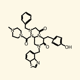 CN1CCN(C(=O)N2C3CN(CC4=CC=CC5SC=NC45)C(=O)C(Cc4ccc(O)cc4)N3C(=O)CN2Cc2ccccc2)CC1